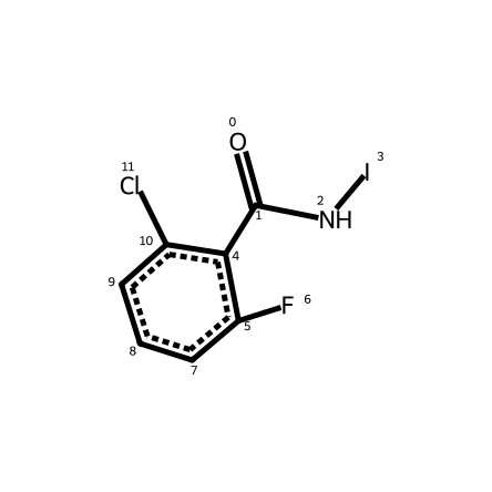 O=C(NI)c1c(F)cccc1Cl